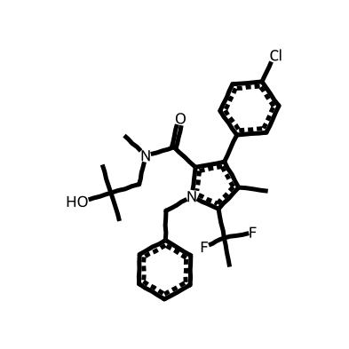 Cc1c(-c2ccc(Cl)cc2)c(C(=O)N(C)CC(C)(C)O)n(Cc2ccccc2)c1C(C)(F)F